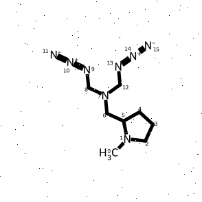 CN1CCCC1CN(CN=[N+]=[N-])CN=[N+]=[N-]